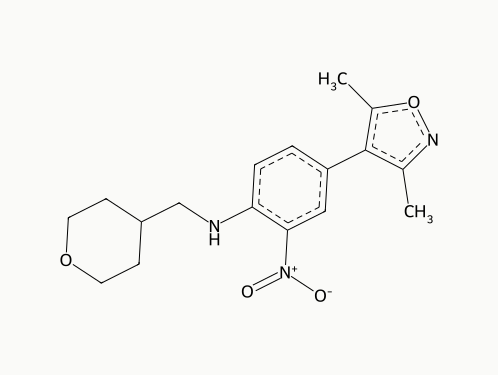 Cc1noc(C)c1-c1ccc(NCC2CCOCC2)c([N+](=O)[O-])c1